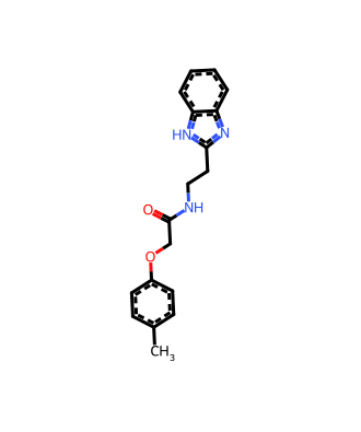 Cc1ccc(OCC(=O)NCCc2nc3ccccc3[nH]2)cc1